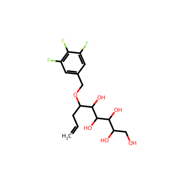 C=CCC(OCc1cc(F)c(F)c(F)c1)C(O)C(O)C(O)C(O)CO